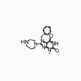 Cn1c(=O)[nH]c(=O)c2c1nc(N1CCCNCC1)n2Cc1ccccc1